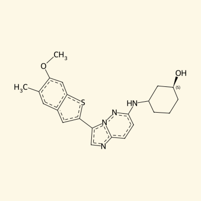 COc1cc2sc(-c3cnc4ccc(NC5CCC[C@H](O)C5)nn34)cc2cc1C